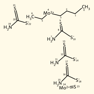 CCC[CH2][Mo+2][CH2]C.NC(=S)[S-].NC(=S)[S-].NC(=S)[S-].NC(=S)[S-].[S]=[Mo+2]